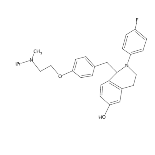 CC(C)N(C)CCOc1ccc(CC2c3ccc(O)cc3CCN2c2ccc(F)cc2)cc1